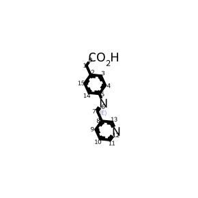 O=C(O)Cc1ccc(/N=C/c2cccnc2)cc1